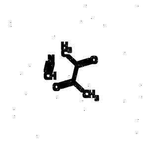 C#N.CC(=O)C(C)=O